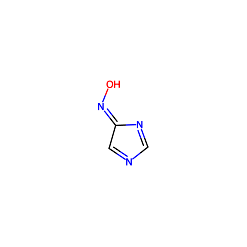 ON=C1C=NC=N1